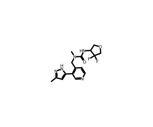 Cc1cc(-c2cnccc2CN(C)C(=O)NC2COCC2(F)F)[nH]n1